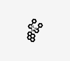 c1ccc(-c2cccc(N(c3cccc(-c4ccccc4)n3)c3ccc4ccc5cccc6ccc3c4c56)n2)cc1